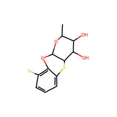 CC1OC2Oc3c(F)cccc3SC2C(O)C1O